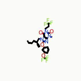 C#C/C(=C\C=C/C)Cn1c(Oc2cccc(OC(F)(F)F)c2)nc2c1c(=O)n(CCC(F)(F)F)c(=O)n2C